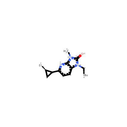 CC[C@@H]1CC1c1ccc2c(n1)n(C)c(=O)n2CC(C)(C)C